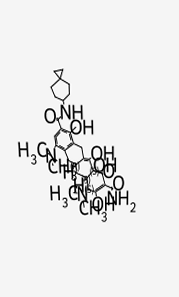 CN(C)c1cc(C(=O)NC2CCC3(CC2)CC3)c(O)c2c1C[C@H]1C[C@H]3[C@H](N(C)C)C(O)=C(C(N)=O)C(=O)[C@@]3(O)C(O)=C1C2